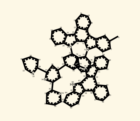 Cc1ccc2c(c1)c1c3ccccc3c3c4ccccc4n(-c4cc(-c5cc(-c6ccccn6)nc(-c6ccccn6)c5)cc(-n5c6ccccc6c6c7ccccc7c7c8ccccc8[nH]c7c65)c4)c3c1n2-c1ccccc1